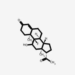 CC(=O)[C@H]1CC[C@H]2[C@@H]3CCC4=CC(=O)CC[C@]4(C)[C@@]3(F)C(O)C[C@]12C